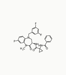 CN1C(=O)[C@H](NC(=O)C2(NC(=O)c3ccccc3)CC2)CN(Cc2cc(F)cc(F)c2)c2ccc(F)cc21